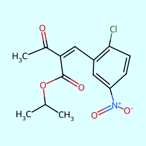 CC(=O)/C(=C/c1cc([N+](=O)[O-])ccc1Cl)C(=O)OC(C)C